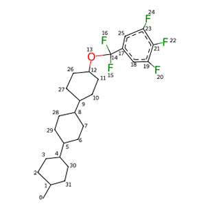 CC1CCC(C2CCC(C3CCC(OC(F)(F)c4cc(F)c(F)c(F)c4)CC3)CC2)CC1